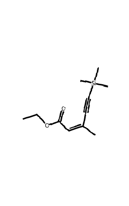 CCOC(=O)C=C(C)C#C[Si](C)(C)C